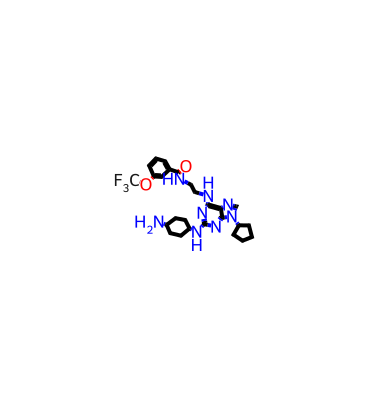 NC1CCC(Nc2nc(NCCNC(=O)c3cccc(OC(F)(F)F)c3)c3ncn(C4CCCC4)c3n2)CC1